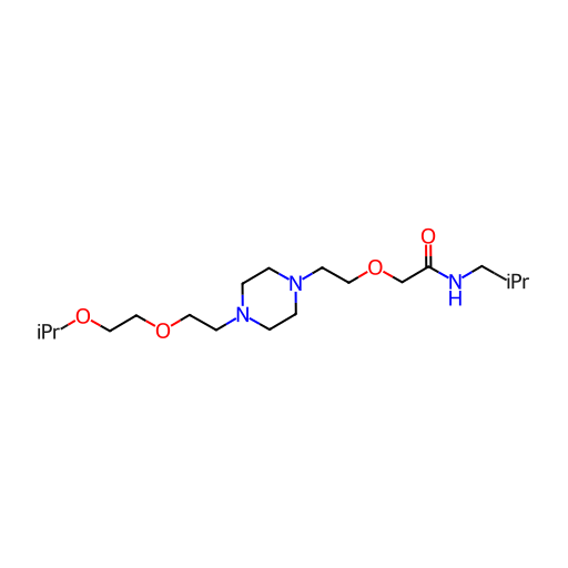 CC(C)CNC(=O)COCCN1CCN(CCOCCOC(C)C)CC1